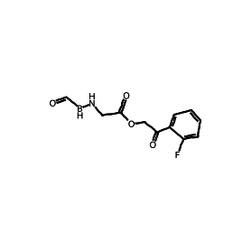 O=CBNCC(=O)OCC(=O)c1ccccc1F